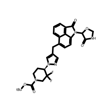 CC(C)(C)OC(=O)N1CC[C@@H](n2cc(Cc3ccc4c5c(cccc35)C(=O)N4C3OCNC3=O)cn2)C(F)(F)C1